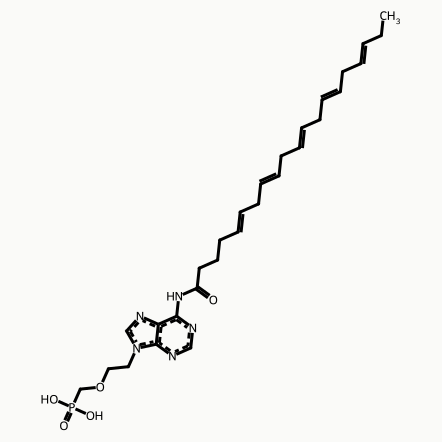 CCC=CCC=CCC=CCC=CCC=CCCCC(=O)Nc1ncnc2c1ncn2CCOCP(=O)(O)O